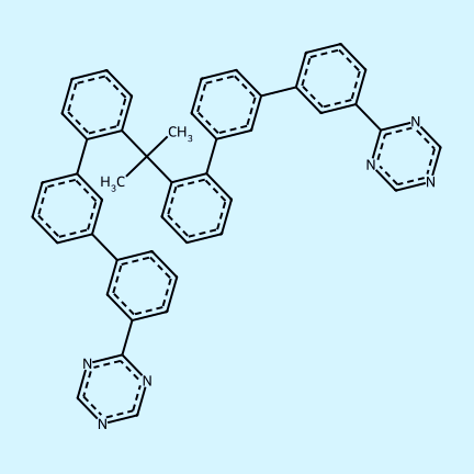 CC(C)(c1ccccc1-c1cccc(-c2cccc(-c3ncncn3)c2)c1)c1ccccc1-c1cccc(-c2cccc(-c3ncncn3)c2)c1